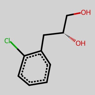 OC[C@H](O)Cc1ccccc1Cl